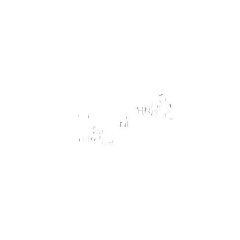 B[C@@H]1O[C@H](CO)C(OCCCCCCNC(=O)CCCCCNC(=O)OC2Cc3ccccc3C#Cc3ccccc32)[C@@H]1OC(=O)CCC(=O)O